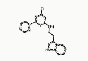 Clc1cc(NCCc2c[nH]c3ccccc23)nc(-c2ccccn2)n1